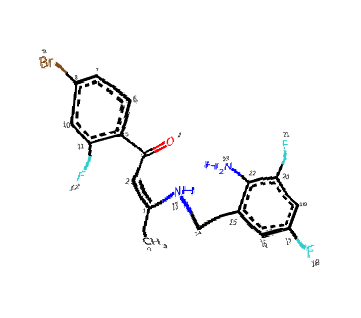 CC(=CC(=O)c1ccc(Br)cc1F)NCc1cc(F)cc(F)c1N